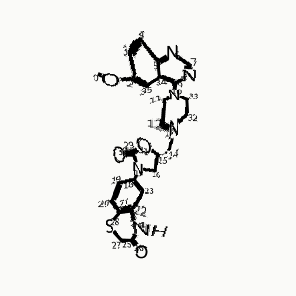 COc1ccc2ncnc(N3CCN(C[C@@H]4CN(c5ccc6c(c5)NC(=O)CS6)C(=O)O4)CC3)c2c1